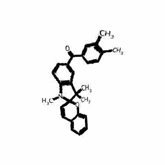 Cc1ccc(C(=O)c2ccc3c(c2)C(C)(C)C2(C=Cc4ccccc4O2)N3C)cc1C